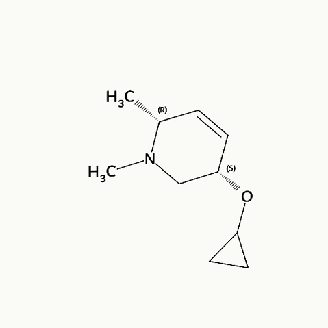 C[C@@H]1C=C[C@H](OC2CC2)CN1C